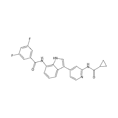 O=C(Nc1cccc2c(-c3ccnc(NC(=O)C4CC4)c3)c[nH]c12)c1cc(F)cc(F)c1